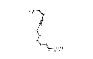 C/C=C\C#CCC/C=C\C=C\C(=O)O